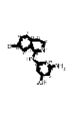 Nc1cc(O)cc(Nc2nccc3ccc(Cl)cc23)n1